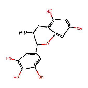 C[C@H]1Cc2c(O)cc(O)cc2O[C@@H]1c1cc(O)c(O)c(O)c1